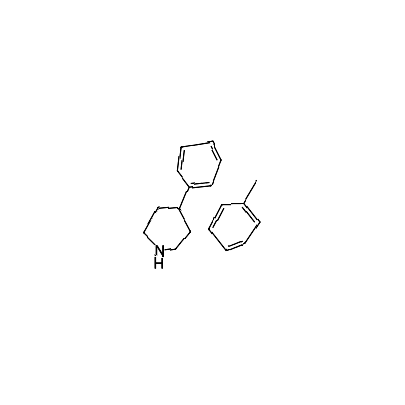 Cc1ccccc1.c1ccc(C2CCNCC2)cc1